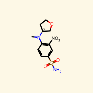 CN(c1ccc(S(N)(=O)=O)cc1[N+](=O)[O-])[C@H]1CCOC1